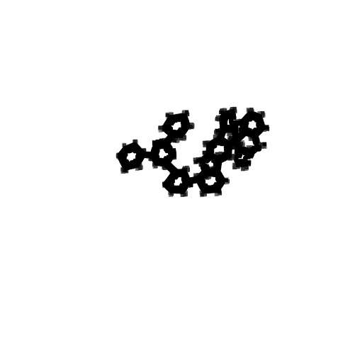 c1ccc(-c2cc(-c3cccc(-c4cccc5c4sc4cc6c(cc45)C4(c5ccccc5Sc5ccccc54)c4ccccc4-6)c3)nc(-c3ccccc3)n2)cc1